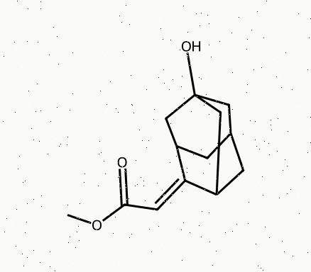 COC(=O)C=C1C2CC3CC1CC(O)(C3)C2